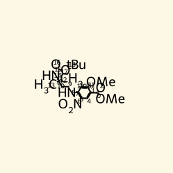 COC(=O)c1cc([N+](=O)[O-])c(NCCC(C)(C)NC(=O)OC(C)(C)C)cc1OC